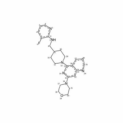 Fc1cccnc1NCC1CCN(c2nc(N3CCOCC3)cc3ncccc23)CC1